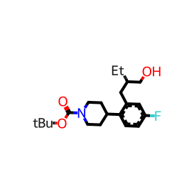 CCC(CO)Cc1cc(F)ccc1C1CCN(C(=O)OC(C)(C)C)CC1